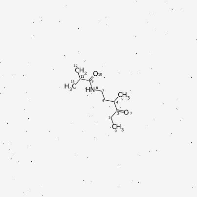 CCC(=O)C(C)CCNC(=O)C(C)C